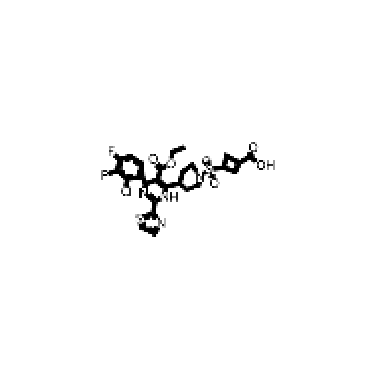 CCOC(=O)C1=C(C2CCN(S(=O)(=O)C3CC(C(=O)O)C3)CC2)NC(c2nccs2)=NC1c1ccc(F)c(F)c1Cl